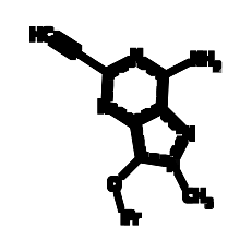 C#Cc1nc(N)c2nn(C)c(OC(C)C)c2n1